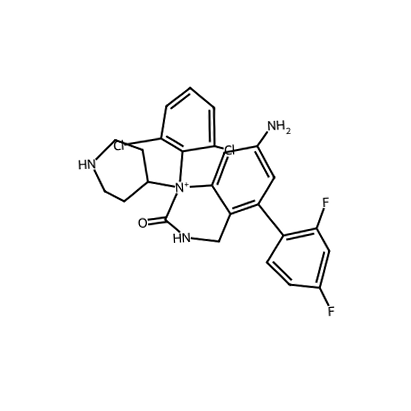 Nc1cc(-c2ccc(F)cc2F)c2c(c1)[N+](c1c(Cl)cccc1Cl)(C1CCNCC1)C(=O)NC2